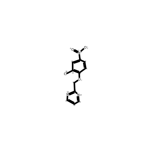 O=[N+]([O-])c1ccc(OCc2ncccn2)c(Cl)c1